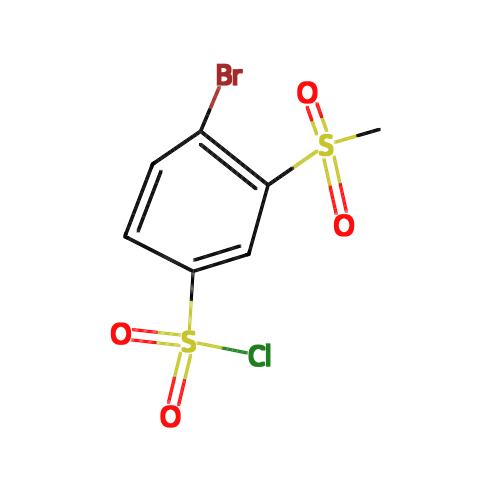 CS(=O)(=O)c1cc(S(=O)(=O)Cl)ccc1Br